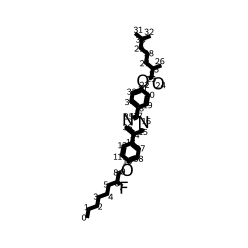 CCCCCCC(F)COc1ccc(-c2cnc(-c3ccc(OC(=O)C(C)CCCC(C)C)cc3)nc2)cc1